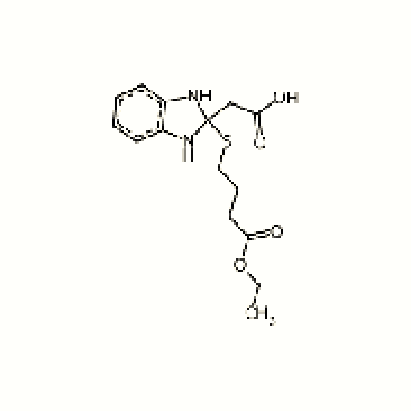 CCOC(=O)CCCSC1(CC(=O)O)Nc2ccccc2N1